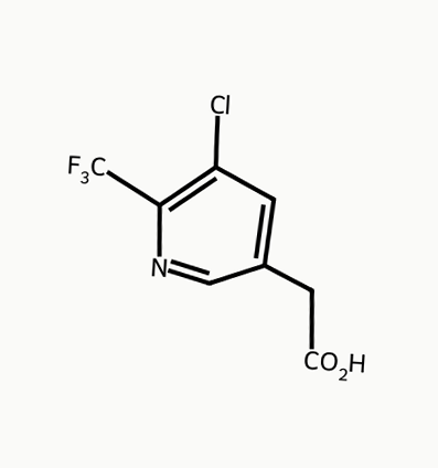 O=C(O)Cc1cnc(C(F)(F)F)c(Cl)c1